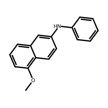 COc1cccc2cc(Nc3ccccc3)ccc12